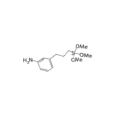 CO[Si](CCCc1cccc(N)c1)(OC)OC